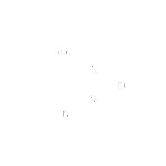 CCc1nc(C(C)(C)C)c2cccnc2n1